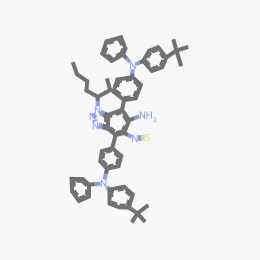 CCCCC(CC)n1nnc2c(-c3ccc(N(c4ccccc4)c4ccc(C(C)(C)C)cc4)cc3)c(N=S)c(N)c(-c3ccc(N(c4ccccc4)c4ccc(C(C)(C)C)cc4)cc3)c21